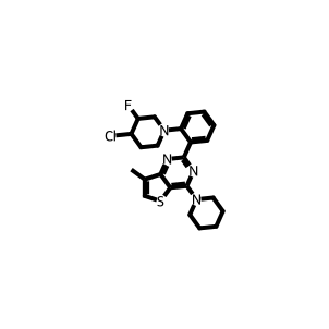 Cc1csc2c(N3CCCCC3)nc(-c3ccccc3N3CCC(Cl)C(F)C3)nc12